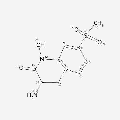 CS(=O)(=O)c1ccc2c(c1)N(O)C(=O)[C@@H](N)C2